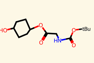 CC(C)(C)OC(=O)NCC(=O)OC1CCC(O)CC1